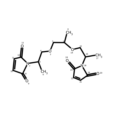 CC(COCC(C)N1C(=O)C=CC1=O)OCC(C)N1C(=O)C=CC1=O